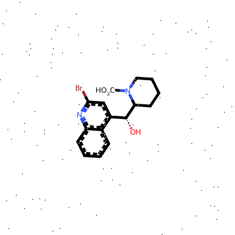 O=C(O)N1CCCCC1[C@H](O)c1cc(Br)nc2ccccc12